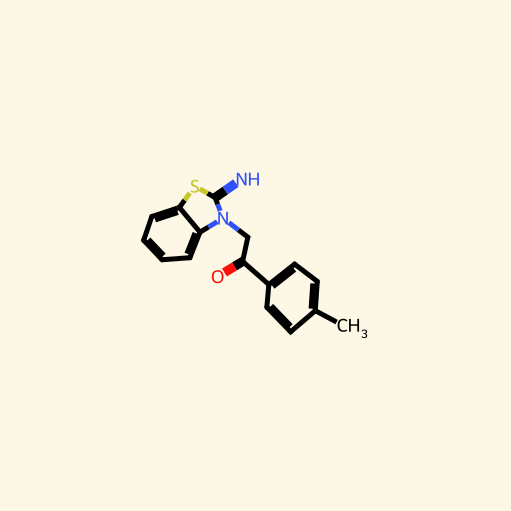 Cc1ccc(C(=O)Cn2c(=N)sc3ccccc32)cc1